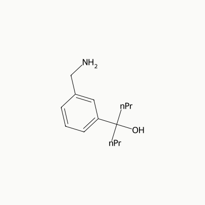 CCCC(O)(CCC)c1cccc(CN)c1